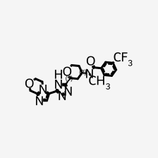 CN(C(=O)c1cccc(C(F)(F)F)c1)[C@@H]1CCO[C@H](c2nnc(-c3cnc4n3CCOC4)[nH]2)C1